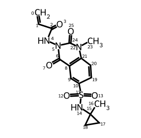 C=CC(=O)Nn1c(=O)c2cc(S(=O)(=O)NC3(C)CC3)ccc2n(C)c1=O